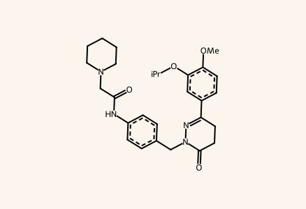 COc1ccc(C2=NN(Cc3ccc(NC(=O)CN4CCCCC4)cc3)C(=O)CC2)cc1OC(C)C